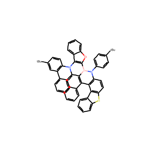 CC(C)(C)c1ccc(N2B3c4oc5ccccc5c4N(c4ccc(C(C)(C)C)cc4-c4ccccc4)c4cc5ccccc5c(c43)-c3c2ccc2sc4ccccc4c32)cc1